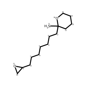 [SiH3]C1(CCCCCCCC2CO2)CCCCO1